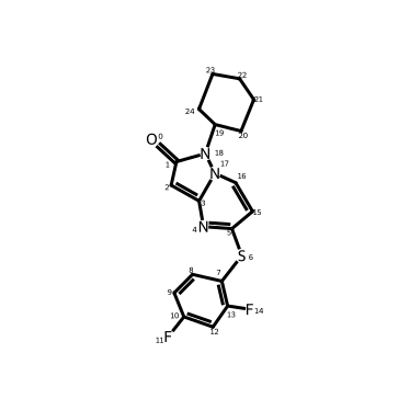 O=c1cc2nc(Sc3ccc(F)cc3F)ccn2n1C1CCCCC1